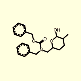 CC1CCC(CN(Cc2ccccc2)C(=O)OCc2ccccc2)OC1O